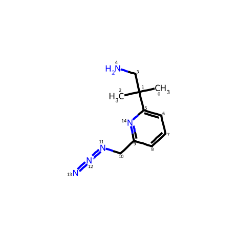 CC(C)(CN)c1cccc(CN=[N+]=[N-])n1